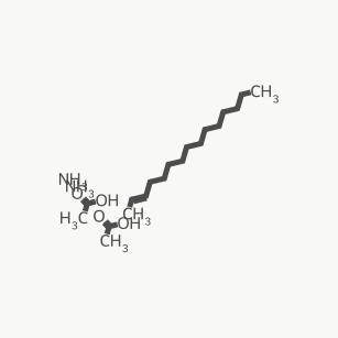 CC(=O)O.CC(=O)O.CC=CCCCCCCCCCCCC.N.N